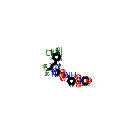 O=C(Nc1cccc(S(=O)(=O)N2CCOCC2)c1)Oc1cnn2c(C(F)F)cc(-c3ccc(Cl)c(Cl)c3)nc12